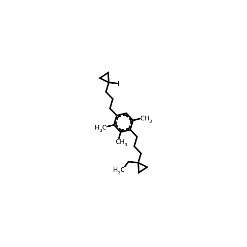 CCC1(CCCc2c(C)cc(CCCC3(I)CC3)c(C)c2C)CC1